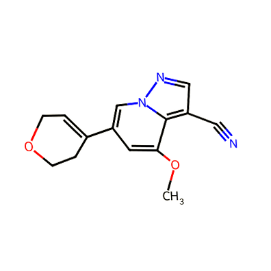 COc1cc(C2=CCOCC2)cn2ncc(C#N)c12